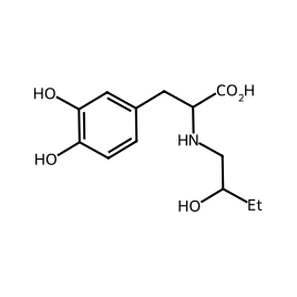 CCC(O)CNC(Cc1ccc(O)c(O)c1)C(=O)O